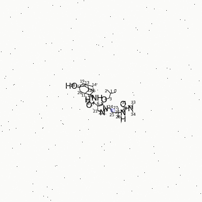 CC(C)COc1c(C(=O)N[C@H]2C3CC4CC2C[C@](O)(C4)C3)cnn1/C=C/C(C)(C)NC(=O)N(C)C